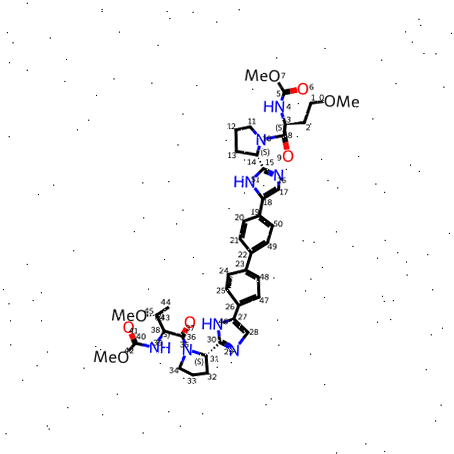 COCC[C@H](NC(=O)OC)C(=O)N1CCC[C@H]1c1ncc(-c2ccc(-c3ccc(-c4cnc([C@@H]5CCCN5C(=O)[C@@H](NC(=O)OC)[C@@H](C)OC)[nH]4)cc3)cc2)[nH]1